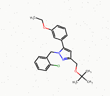 CCOc1cccc(-c2cc(COC(C)(C)C)nn2Cc2ccccc2Cl)c1